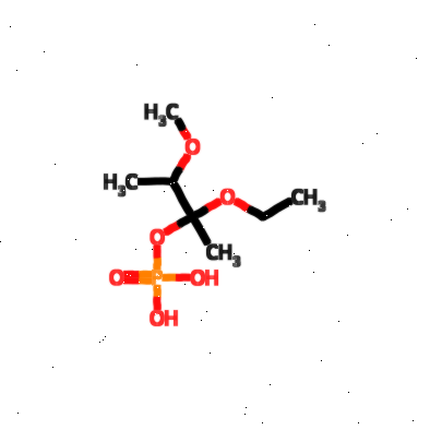 CCOC(C)(OP(=O)(O)O)C(C)OC